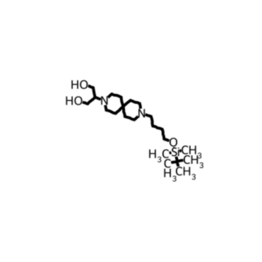 CC(C)(C)[Si](C)(C)OCCCCN1CCC2(CC1)CCN(C(CO)CO)CC2